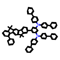 CC1(C)c2cc(-c3cc(N(c4ccc(-c5ccccc5)cc4)c4ccc(-c5ccccc5)cc4)cc(N(c4ccc(-c5ccccc5)cc4)c4ccc(-c5ccccc5)cc4)c3)ccc2-c2cc3c(cc21)-c1c(-c2ccccc2)cccc1C3(C)C